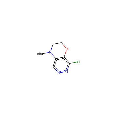 CCCCN1CCOc2c1cnnc2Cl